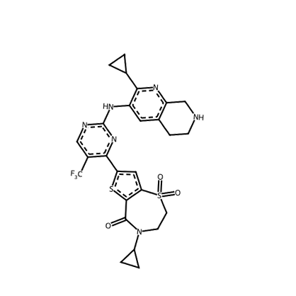 O=C1c2sc(-c3nc(Nc4cc5c(nc4C4CC4)CNCC5)ncc3C(F)(F)F)cc2S(=O)(=O)CCN1C1CC1